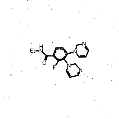 CCNC(=O)c1ccc(N2C=CC=NC2)c(N2C=CC=NC2)c1F